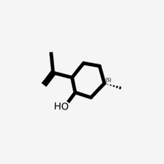 C=C(C)C1CC[C@H](C)CC1O